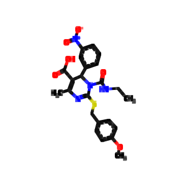 CCNC(=O)N1C(SCc2ccc(OC)cc2)=NC(C)=C(C(=O)O)C1c1cccc([N+](=O)[O-])c1